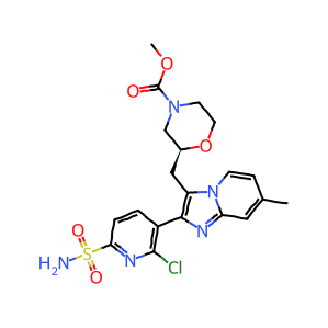 COC(=O)N1CCO[C@@H](Cc2c(-c3ccc(S(N)(=O)=O)nc3Cl)nc3cc(C)ccn23)C1